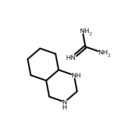 C1CCC2NCNCC2C1.N=C(N)N